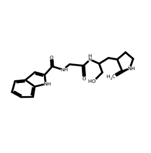 C=C1NCCC1CC(CO)NC(=O)CNC(=O)c1cc2ccccc2[nH]1